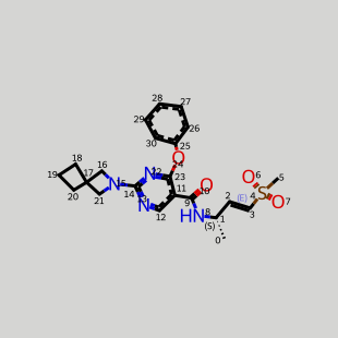 C[C@@H](/C=C/S(C)(=O)=O)NC(=O)c1cnc(N2CC3(CCC3)C2)nc1Oc1ccccc1